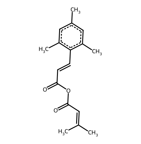 CC(C)=CC(=O)OC(=O)/C=C/c1c(C)cc(C)cc1C